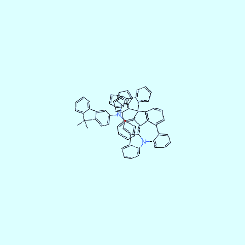 CC1(C)c2ccccc2-c2cc(N(c3ccccc3)c3cc4c5ccccc5n5c4c4c3C(c3ccccc3-c3ccccc3)(c3ccccc3-c3ccccc3)c3cccc(c3-4)-c3ccccc3-5)ccc21